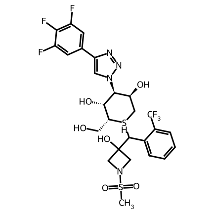 CS(=O)(=O)N1CC(O)(C(c2ccccc2C(F)(F)F)[SH]2C[C@H](O)[C@H](n3cc(-c4cc(F)c(F)c(F)c4)nn3)[C@@H](O)[C@H]2CO)C1